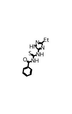 CCc1n[nH]c(NC(=S)NC(=O)c2ccccc2)n1